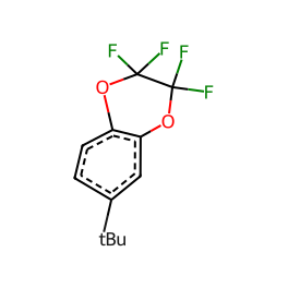 CC(C)(C)c1ccc2c(c1)OC(F)(F)C(F)(F)O2